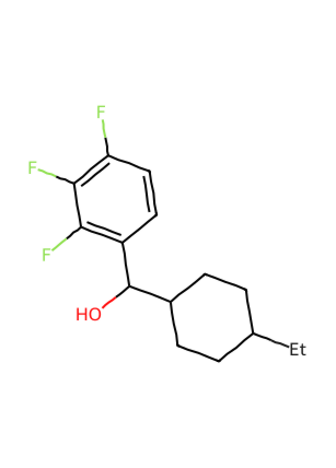 CCC1CCC(C(O)c2ccc(F)c(F)c2F)CC1